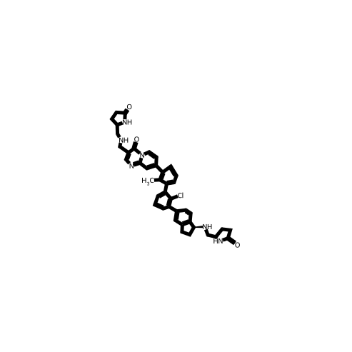 Cc1c(-c2ccn3c(=O)c(CNCC4CCC(=O)N4)cnc3c2)cccc1-c1cccc(-c2ccc3c(c2)CC[C@@H]3NCC2CCC(=O)N2)c1Cl